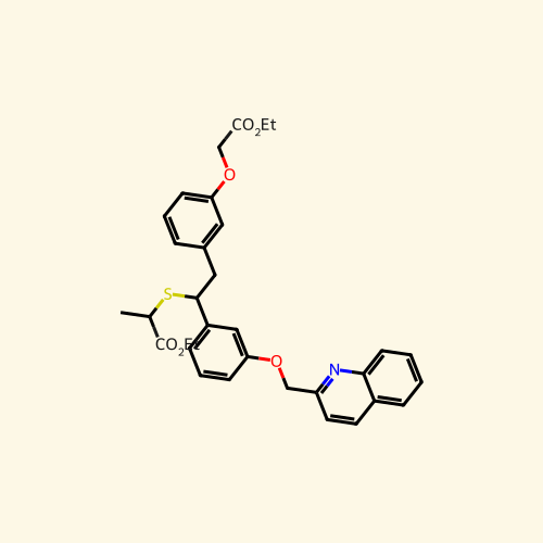 CCOC(=O)COc1cccc(CC(SC(C)C(=O)OCC)c2cccc(OCc3ccc4ccccc4n3)c2)c1